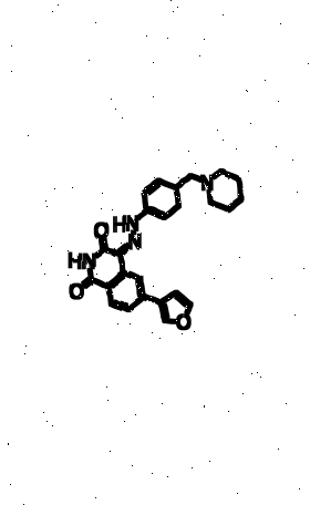 O=C1NC(=O)c2ccc(-c3ccoc3)cc2/C1=N/NC1=CCC(CN2CCCCC2)C=C1